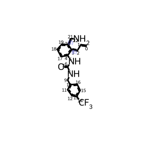 C=C/C=c1/c(NC(=O)NCc2ccc(C(F)(F)F)cc2)ccc/c1=C/N